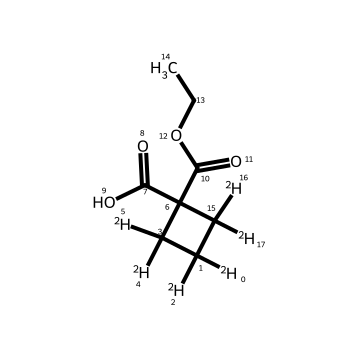 [2H]C1([2H])C([2H])([2H])C(C(=O)O)(C(=O)OCC)C1([2H])[2H]